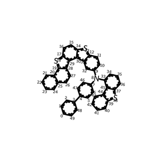 c1ccc(-c2ccc(N(c3ccc4sc5ccc6sc7c8ccccc8ccc7c6c5c4c3)c3cccc4sc5ccccc5c34)cc2)cc1